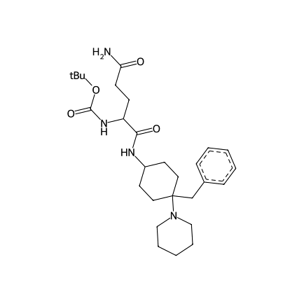 CC(C)(C)OC(=O)NC(CCC(N)=O)C(=O)NC1CCC(Cc2ccccc2)(N2CCCCC2)CC1